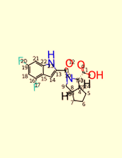 O=C(O)[C@@H]1[C@H]2CCC[C@H]2CN1C(=O)c1cc2c(F)cc(F)cc2[nH]1